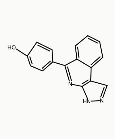 Oc1ccc(-c2nc3[nH]ncc3c3ccccc23)cc1